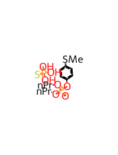 CCCOP(=O)(OCCC)Oc1ccc(SC)cc1.OP(O)(O)=S